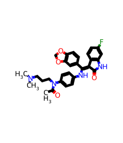 CC(=O)N(CCCN(C)C)c1ccc(N/C(=C2\C(=O)Nc3cc(F)ccc32)c2ccc3c(c2)OCO3)cc1